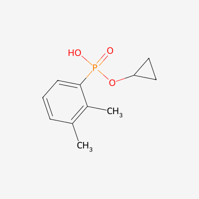 Cc1cccc(P(=O)(O)OC2CC2)c1C